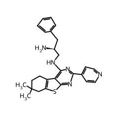 CC1(C)CCc2c(sc3nc(-c4ccncc4)nc(NC[C@@H](N)Cc4ccccc4)c23)C1